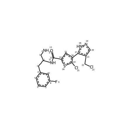 NCC(Cc1cccc(F)c1)NC(=O)c1cc(-c2[nH]ncc2CCl)c(Cl)s1